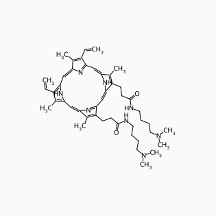 C=CC1=C(C)c2cc3[nH]c(cc4nc(cc5[nH]c(cc1n2)c(C)c5CCC(=O)NCCCCN(C)C)C(CCC(=O)NCCCCN(C)C)=C4C)c(C)c3C=C